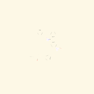 CCOC(Cc1ccc(OCCn2c(=O)sc3cc(C(=NOCc4ccccc4)c4ccccc4)ccc32)cc1)C(=O)OC